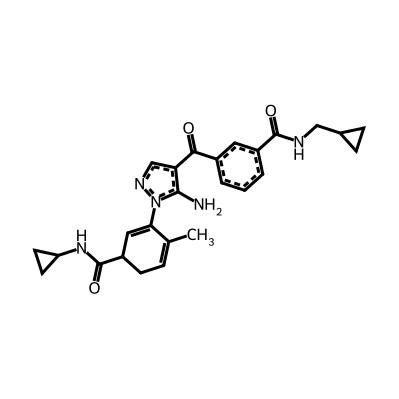 CC1=CCC(C(=O)NC2CC2)C=C1n1ncc(C(=O)c2cccc(C(=O)NCC3CC3)c2)c1N